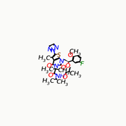 COc1ccc(F)cc1[C@H](Cn1c(=O)n(C(C)(C)C(=O)NC(C)C)c(=O)c2c(C)c(-n3nccn3)sc21)OCC(C)C=O